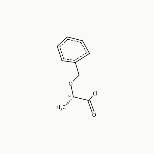 C[C@H](OCc1ccccc1)C(=O)Cl